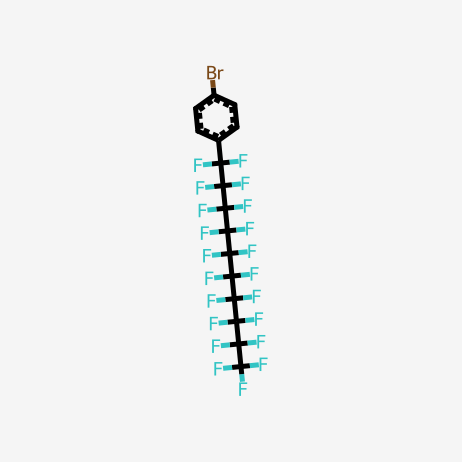 FC(F)(F)C(F)(F)C(F)(F)C(F)(F)C(F)(F)C(F)(F)C(F)(F)C(F)(F)C(F)(F)C(F)(F)c1ccc(Br)cc1